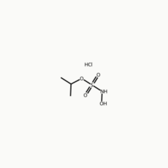 CC(C)OS(=O)(=O)NO.Cl